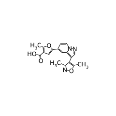 Cc1noc(C)c1-c1cnn2ccc(-c3cc(C(=O)O)c(C)o3)cc12